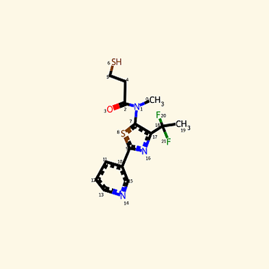 CN(C(=O)CCS)c1sc(-c2cccnc2)nc1C(C)(F)F